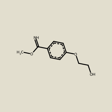 COC(=N)c1ccc(OCCO)cc1